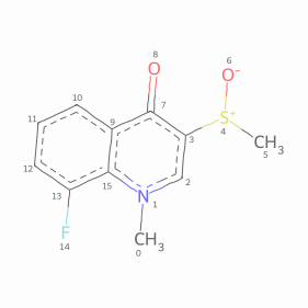 Cn1cc([S+](C)[O-])c(=O)c2cccc(F)c21